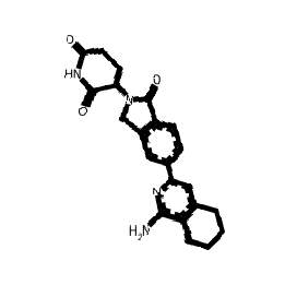 Nc1nc(-c2ccc3c(c2)CN(C2CCC(=O)NC2=O)C3=O)cc2c1CCCC2